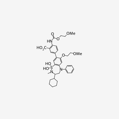 COCCOC(=O)Nc1ccc(-c2cc3c(cc2OCCOC)N(c2ccccc2)CC(C2CCCCC2)N(C)S3(O)O)cc1C(=O)O